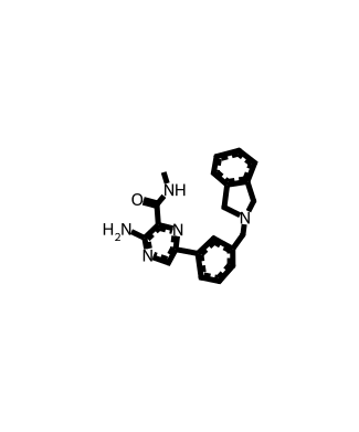 CNC(=O)c1nc(-c2cccc(CN3Cc4ccccc4C3)c2)cnc1N